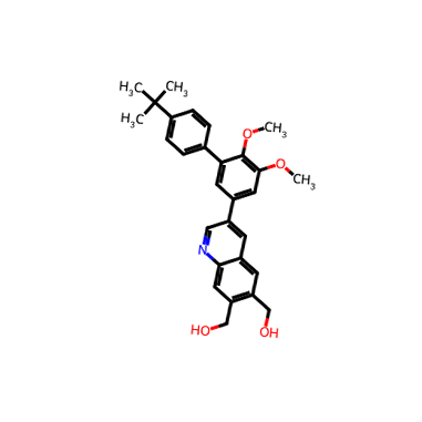 COc1cc(-c2cnc3cc(CO)c(CO)cc3c2)cc(-c2ccc(C(C)(C)C)cc2)c1OC